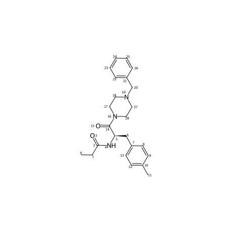 CCC(=O)N[C@H](Cc1ccc(C)cc1)C(=O)N1CCN(Cc2ccccc2)CC1